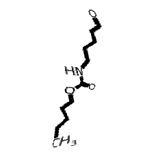 CCCCCOC(=O)NCCCCC=O